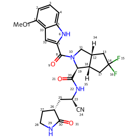 COc1cccc2[nH]c(C(=O)N3C[C@@H]4CC(F)(F)C[C@@H]4[C@H]3C(=O)N[C@@H](C#N)C[C@H]3CCNC3=O)cc12